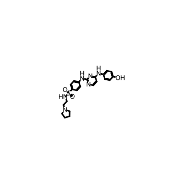 O=S(=O)(NCCN1CCCC1)c1ccc(Nc2nccc(Nc3ccc(O)cc3)n2)cc1